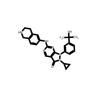 CC(O)(c1cccc(-n2c3nc(Nc4ccc5c(c4)CCNC5)ncc3c(=O)n2C2CC2)c1)C(F)(F)F